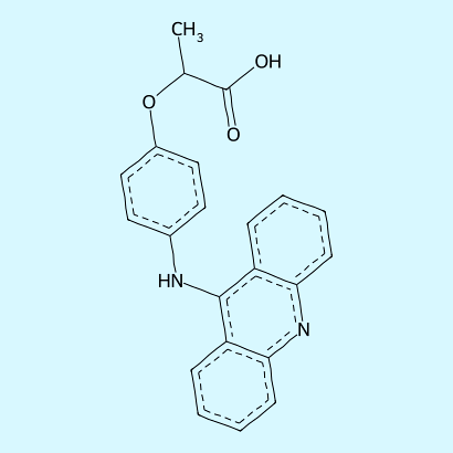 CC(Oc1ccc(Nc2c3ccccc3nc3ccccc23)cc1)C(=O)O